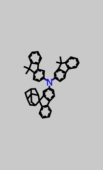 CC1(C)c2ccccc2-c2cc(N(c3ccc4c(c3)C(C)(C)c3ccccc3-4)c3ccc4c(c3)C3(c5ccccc5-4)C4CC5CC(C4)CC3C5)ccc21